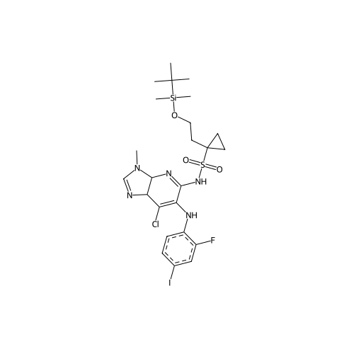 CN1C=NC2C(Cl)=C(Nc3ccc(I)cc3F)C(NS(=O)(=O)C3(CCO[Si](C)(C)C(C)(C)C)CC3)=NC21